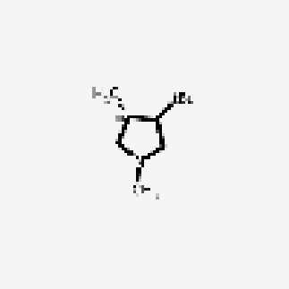 C[C@H]1CN(C)CC1C(C)(C)C